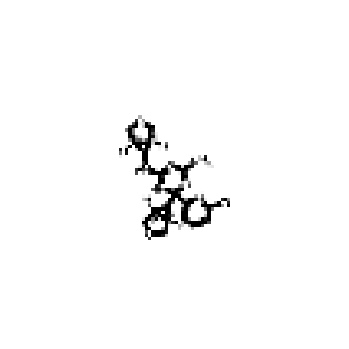 NC1=NC(c2cccc(Cl)n2)(C2[C@H]3COC[C@@H]23)NC(NC2[C@H]3COC[C@@H]23)=N1